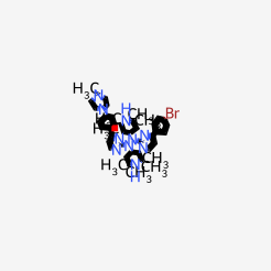 CN1CCN(c2ccc(-c3ccnc(N(C4CC(C)(C)NC(C)(C)C4)N(c4nccc(-c5ccc(Br)cc5)n4)C4CC(C)(C)NC(C)(C)C4)n3)cc2)CC1